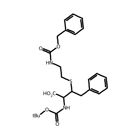 CC(C)(C)OC(=O)NC(C(=O)O)C(Cc1ccccc1)SCCNC(=O)OCc1ccccc1